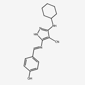 N#Cc1c(NC2CCCCC2)n[nH]c1N=Cc1ccc(O)cc1